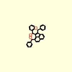 O=C(C1=C(C(=O)c2ccccc2)c2c(C(=O)c3ccccc3)ccc3cccc1c23)c1ccccc1